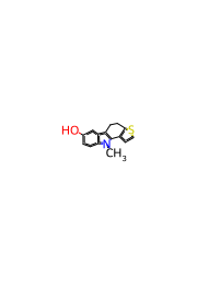 Cn1c2c(c3cc(O)ccc31)CCc1sccc1-2